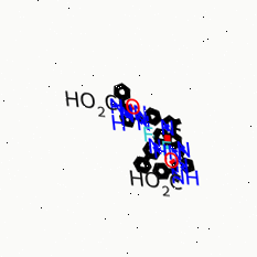 CC1C[C@H](c2ccc3[nH]c([C@@H]4CCCN4C(=O)[C@@H](NC(=O)O)C4CCCCC4)nc3c2)N(c2cc(F)c(N3CCC(c4ccccc4)CC3)c(F)c2)[C@@]1(C)c1ccc2[nH]c([C@@H]3CCCN3C(=O)[C@@H](NC(=O)O)C3CCCCC3)nc2c1